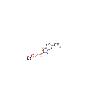 CCOCCSc1nc2cc(C(F)(F)F)ccc2s1